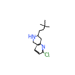 CC(C)(C)CCC1Cc2nc(Cl)ccc2CN1